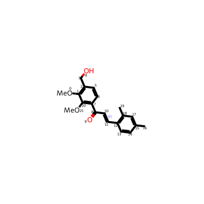 COc1c(CO)ccc(C(=O)/C=C/c2ccc(C)cc2C)c1OC